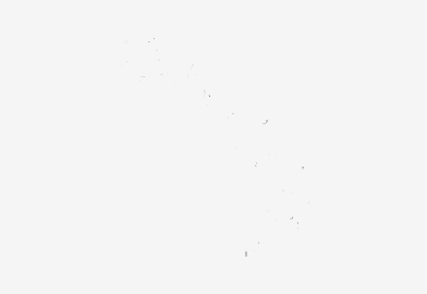 CC(C=Cc1ccc(Oc2ccc(OC(C)C)nc2)cc1)=NOCc1ccccc1